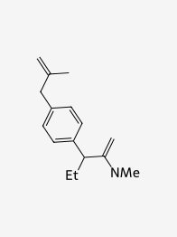 C=C(C)Cc1ccc(C(CC)C(=C)NC)cc1